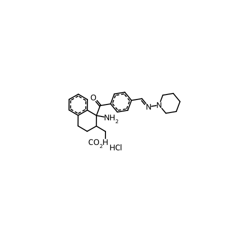 Cl.NC1(C(=O)c2ccc(C=NN3CCCCC3)cc2)c2ccccc2CCC1CC(=O)O